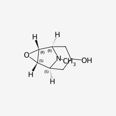 CN1[C@@H]2CC(O)C[C@H]1[C@@H]1O[C@@H]12